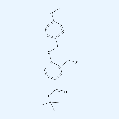 COc1ccc(COc2ccc(C(=O)OC(C)(C)C)cc2CBr)cc1